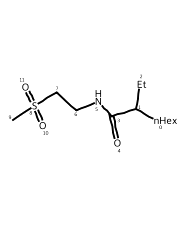 CCCCCCC(CC)C(=O)NCCS(C)(=O)=O